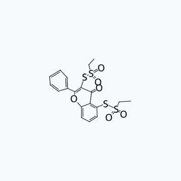 CCS(=O)(=O)Sc1c(-c2ccccc2)oc2cccc(SS(=O)(=O)CC)c2c1=O